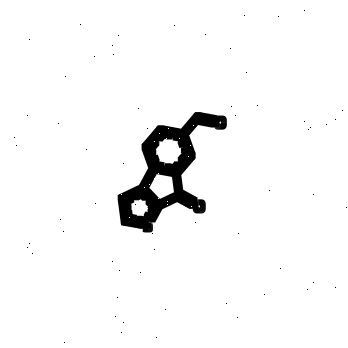 O=Cc1ccc2c(c1)C(=O)c1sccc1-2